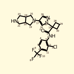 O=C(Nc1ccc(C(F)(F)F)cc1Cl)C1(n2cc(N3CC4CNCC4C3)cn2)CCC1